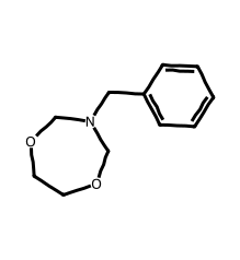 c1ccc(CN2COCCOC2)cc1